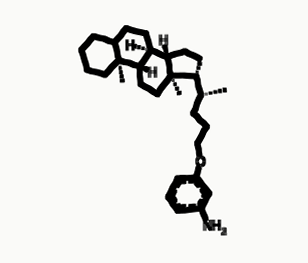 C[C@H](CCCOc1cccc(N)c1)[C@H]1CC[C@H]2[C@@H]3CCC4CCCC[C@]4(C)[C@H]3CC[C@]12C